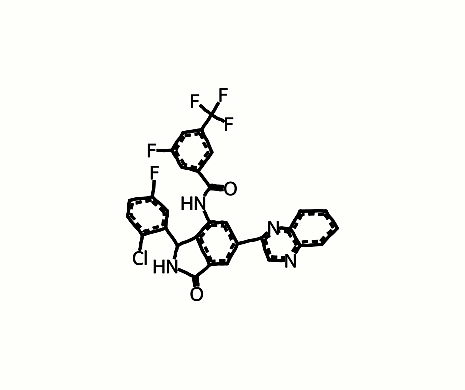 O=C(Nc1cc(-c2cnc3ccccc3n2)cc2c1C(c1cc(F)ccc1Cl)NC2=O)c1cc(F)cc(C(F)(F)F)c1